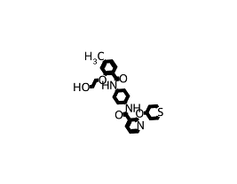 Cc1ccc(C(=O)NC2CCC(NC(=O)c3cccnc3OC3CCSCC3)CC2)c(OCCO)c1